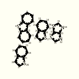 c1ccc2c(c1)sc1ccccc12.c1ccc2sccc2c1.c1ccc2sccc2c1.c1nc2ncsc2s1